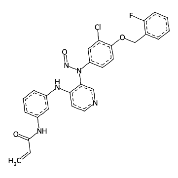 C=CC(=O)Nc1cccc(Nc2ccncc2N(N=O)c2ccc(OCc3ccccc3F)c(Cl)c2)c1